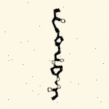 C=CC(=O)CC#Cc1ccc(/C=C/C(=O)Oc2ccc(OCOC(=O)C=C)cc2)cc1